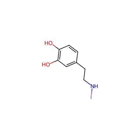 Oc1ccc(CCNI)cc1O